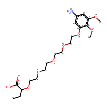 CCC(OCCOCCOCCOCCOc1cc(N)cc(OC)c1OC)C(=O)O